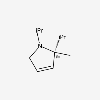 CC(C)N1CC=C[C@@]1(C)C(C)C